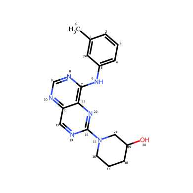 Cc1cccc(Nc2ncnc3cnc(N4CCCC(O)C4)nc23)c1